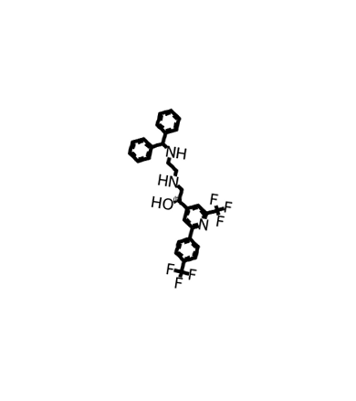 O[C@@H](CNCCNC(c1ccccc1)c1ccccc1)c1cc(-c2ccc(C(F)(F)F)cc2)nc(C(F)(F)F)c1